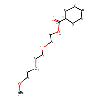 CCCCOCCOCCOCCOC(=O)C1CCCCC1